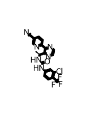 C[C@H](NC(=O)Nc1ccc(C(F)(F)F)c(Cl)c1)c1nccnc1-c1ccc(C#N)cn1